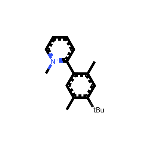 Cc1cc(C(C)(C)C)c(C)cc1-c1cccc[n+]1C